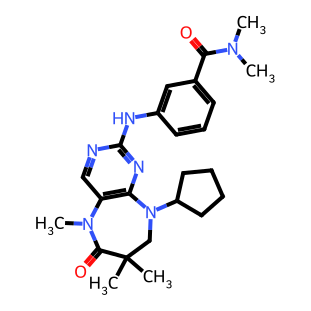 CN(C)C(=O)c1cccc(Nc2ncc3c(n2)N(C2CCCC2)CC(C)(C)C(=O)N3C)c1